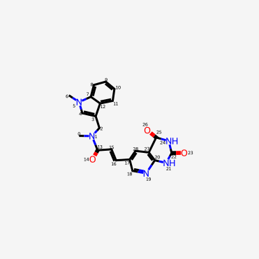 CN(Cc1cn(C)c2ccccc12)C(=O)C=Cc1cnc2[nH]c(=O)[nH]c(=O)c2c1